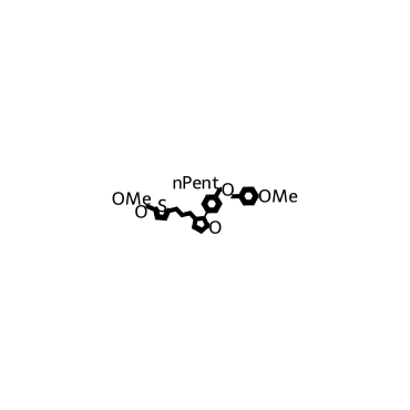 CCCCCC(OCc1ccc(OC)cc1)c1ccc([C@H]2C(=O)C=CC2CCCc2ccc(C(=O)OC)s2)cc1